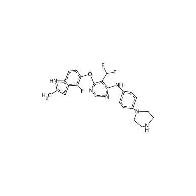 Cc1cc2c(F)c(Oc3ncnc(Nc4ccc(N5CCNCC5)cc4)c3C(F)F)ccc2[nH]1